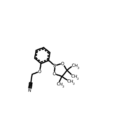 CC1(C)OB(c2ccccc2OCC#N)OC1(C)C